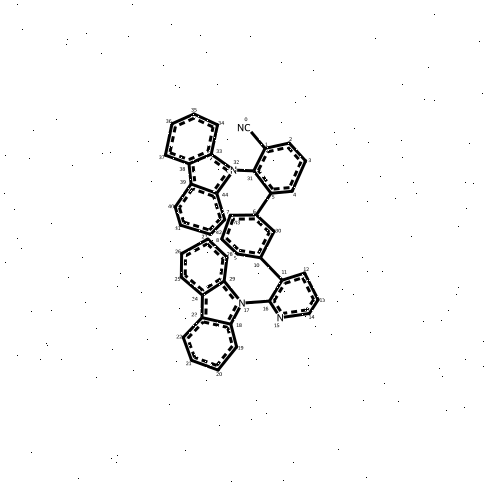 N#Cc1cccc(-c2cccc(-c3cccnc3-n3c4ccccc4c4ccccc43)c2)c1-n1c2ccccc2c2ccccc21